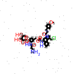 COc1ccc(/C=C/C(=O)N2CC(CCl)c3c2cc(NC(=O)OCc2ccc(OC4OC[C@@H](O)[C@H](O)[C@H]4O)c(NC(=O)CCN)c2)c2ccccc32)cc1